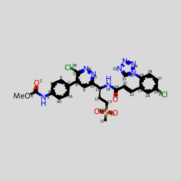 COC(=O)Nc1ccc(-c2cc([C@H](CCS(C)(=O)=O)NC(=O)/C=C/c3cc(Cl)ccc3-n3cnnn3)nnc2Cl)cc1